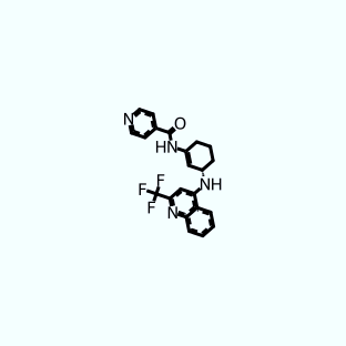 O=C(NC1=C[C@@H](Nc2cc(C(F)(F)F)nc3ccccc23)CCC1)c1ccncc1